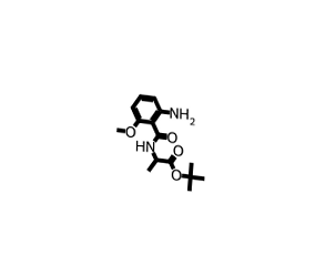 COc1cccc(N)c1C(=O)NC(C)C(=O)OC(C)(C)C